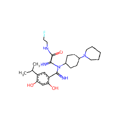 CC(C)c1cc(C(=N)N(C(=N)C(=O)NCCF)C2CCC(N3CCCCC3)CC2)c(O)cc1O